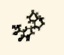 NC(=O)c1cc(-c2ccnc3ccccc23)c[nH]c1=O